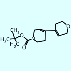 CC(C)(C)OC(=O)N1CC=C(C2=CCOCC2)CC1